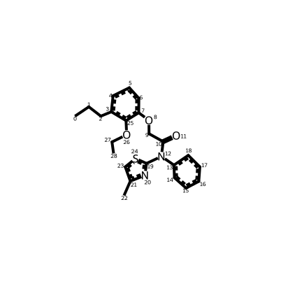 CCCc1cccc(OCC(=O)N(c2ccccc2)c2nc(C)cs2)c1OCC